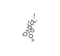 C=CC[C@]1(CC)O[C@@H](n2ccc(NC(c3ccccc3)(c3ccccc3)c3ccc(OC)cc3)nc2=O)[C@H](F)[C@@H]1C